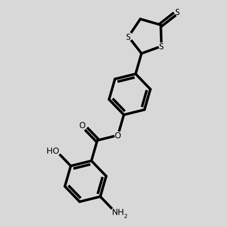 Nc1ccc(O)c(C(=O)Oc2ccc(C3SCC(=S)S3)cc2)c1